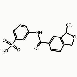 NS(=O)(=O)c1cccc(NC(=O)c2ccc3c(c2)C(C(F)(F)F)OC3)c1